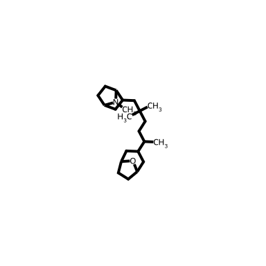 CC(CCC(C)(C)CC1CC2CCC1N2C)C1CC2CCC(C1)O2